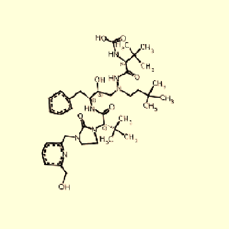 CC(C)(C)CCN(C[C@H](O)[C@H](Cc1ccccc1)NC(=O)[C@@H](N1CCN(Cc2cccc(CO)n2)C1=O)C(C)(C)C)NC(=O)[C@@H](NC(=O)O)C(C)(C)C